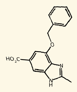 Cc1nc2c(OCc3ccccc3)cc(C(=O)O)cc2[nH]1